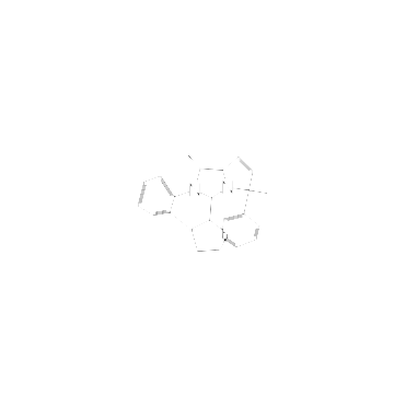 Cc1ccccc1N1C(C2CCCC2)N2C(C=CC2(C)c2ccccc2)[C@@H]1C